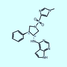 Cn1cnc(S(=O)(=O)N2C[C@H](Nc3ncnc4[nH]ccc34)[C@@H](c3ccccc3)C2)c1